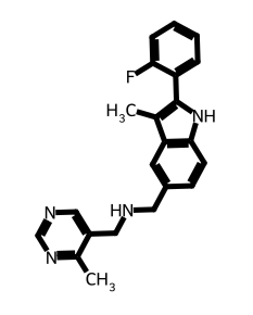 Cc1ncncc1CNCc1ccc2[nH]c(-c3ccccc3F)c(C)c2c1